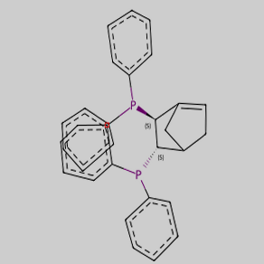 C1=C2CC(C1)[C@H](P(c1ccccc1)c1ccccc1)[C@H]2P(c1ccccc1)c1ccccc1